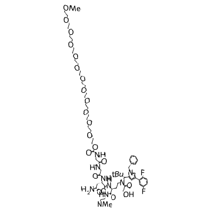 CNCCNC(=O)[C@H](CCN(C(=O)CO)[C@@H](c1cc(-c2cc(F)ccc2F)cn1Cc1ccccc1)C(C)(C)C)NC(=O)[C@H](CC(N)=O)NC(=O)CNC(=O)CNC(=O)OCCOCCOCCOCCOCCOCCOCCOCCOCCOCCOCCOCCOC